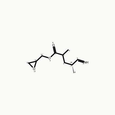 CC(C[C@@H](C)C=N)C(=O)OCC1CO1